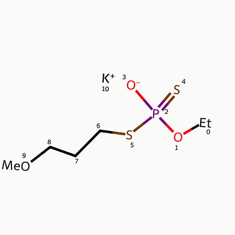 CCOP([O-])(=S)SCCCOC.[K+]